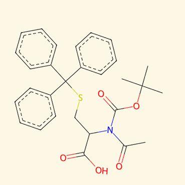 CC(=O)N(C(=O)OC(C)(C)C)C(CSC(c1ccccc1)(c1ccccc1)c1ccccc1)C(=O)O